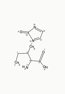 CCC(C)C(N)C(=O)O.O=C1N=CC=N1